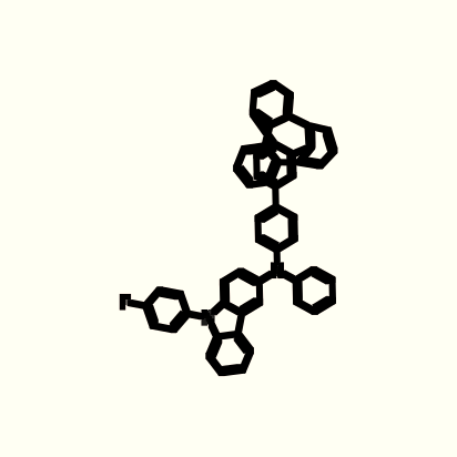 Fc1ccc(-n2c3ccccc3c3cc(N(c4ccccc4)c4ccc(-c5ccc6c(c5)-c5c7cccc5-c5cccc-6c5-c5ccccc5-7)cc4)ccc32)cc1